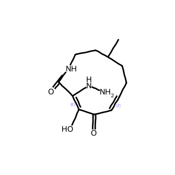 CC1CC/C=C\C(=O)/C(O)=C(\NN)C(=O)NCC1